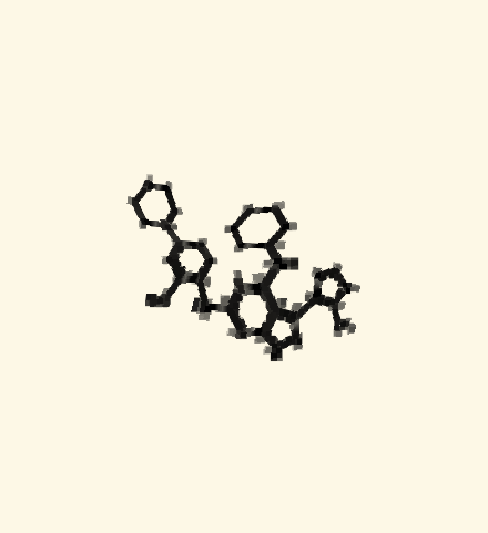 COc1cc(N2CCOCC2)ccc1Nc1nc(NC2CCCCC2)c2c(-c3ccnn3C)n[nH]c2n1